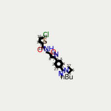 CCCC/N=C(/c1ccc(-c2cc(CNC(=O)c3ccc(Cl)s3)on2)cc1)N1CCC1